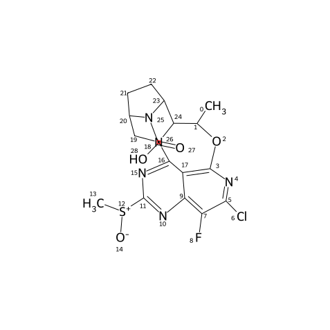 CC1Oc2nc(Cl)c(F)c3nc([S+](C)[O-])nc(c23)N2CC3CCC(C12)N3C(=O)O